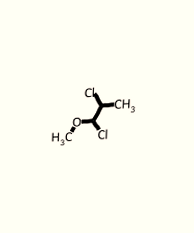 COC(Cl)[C](C)Cl